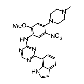 COc1cc(N2CCN(C)CC2)c([N+](=O)[O-])cc1Nc1ncnc(-c2cccc3cc[nH]c23)n1